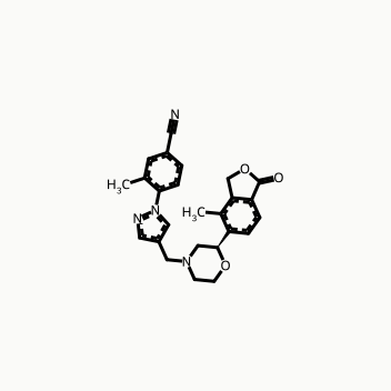 Cc1cc(C#N)ccc1-n1cc(CN2CCO[C@H](c3ccc4c(c3C)COC4=O)C2)cn1